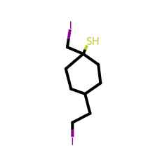 SC1(CI)CCC(CCI)CC1